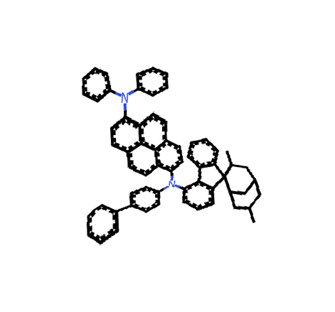 CC1CC2CC(C)C3(c4ccccc4-c4c(N(c5ccc(-c6ccccc6)cc5)c5ccc6ccc7c(N(c8ccccc8)c8ccccc8)ccc8ccc5c6c87)cccc43)C(C1)C2